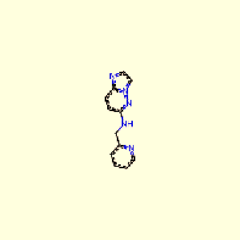 c1ccc(CNc2ccc3nccn3n2)nc1